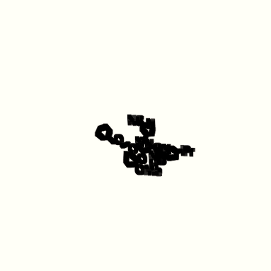 COc1ccccc1Oc1c(NS(=O)(=O)c2ccc(C(C)C)cn2)nc(-c2ccnc(C#N)c2)nc1OCCOCc1ccccc1